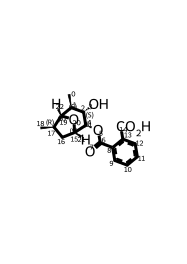 C[C@H]1[C@H](O)[C@H](OC(=O)c2ccccc2C(=O)O)[C@@H]2C[C@@H](C)[C@H]1O2